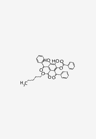 CCCCCOC(=O)c1c(C(=O)c2ccccc2)c(O)c(O)c(OC(=O)c2ccccc2)c1C(=O)c1ccccc1